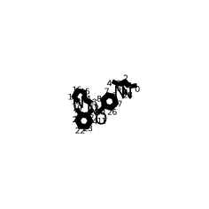 Cc1cc(C)n(-c2ccc(C(=O)N3C=C4CC=CN4Cc4ccccc43)cc2)n1